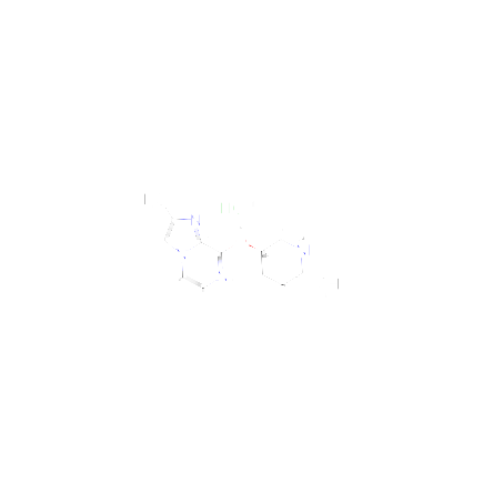 Cc1cn2ccnc(O[C@@H]3CC[C@@H](C)NC3)c2n1.Cl